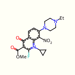 CCN1CCN(c2ccc3c(=O)c(C(=O)OC)c(F)n(C4CC4)c3c2[N+](=O)[O-])CC1